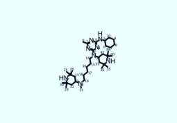 Cc1nc(NC2CCCCC2)nc(N(CCCCCCN(C)C2CC(C)(C)NC(C)(C)C2)C2CC(C)(C)NC(C)(C)C2)n1